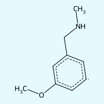 CNCc1c[c]cc(OC)c1